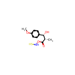 COc1ccc([C@H](O)[C@H](C)C(=O)ONS)cc1